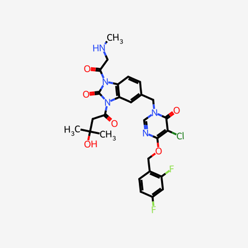 CNCC(=O)n1c(=O)n(C(=O)CC(C)(C)O)c2cc(Cn3cnc(OCc4ccc(F)cc4F)c(Cl)c3=O)ccc21